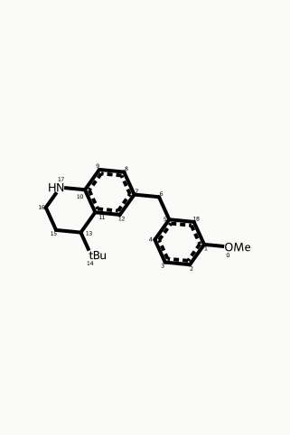 COc1cccc(Cc2ccc3c(c2)C(C(C)(C)C)CCN3)c1